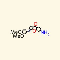 COc1ccc(/C=C2\CCc3c2oc2cc(N)ccc2c3=O)cc1OC